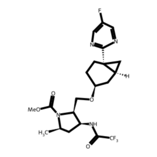 COC(=O)N1[C@H](C)C[C@H](NC(=O)C(F)(F)F)[C@@H]1CO[C@H]1CC[C@@]2(c3ncc(F)cn3)C[C@H]2C1